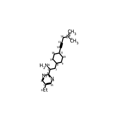 CCc1cnc(C(N)CC2CCC(C#CCN(C)C)CC2)nc1